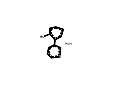 Sc1ccccc1-c1cccnc1.[NaH]